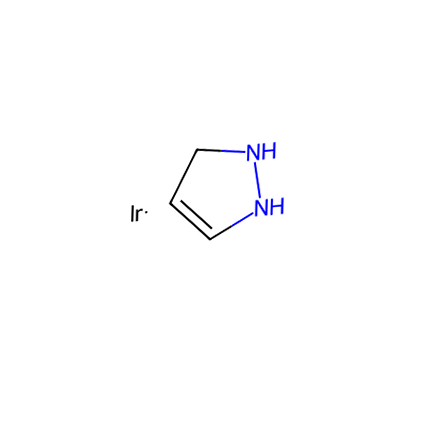 C1=CNNC1.[Ir]